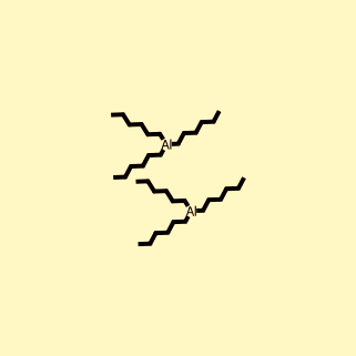 CCCCC[CH2][Al]([CH2]CCCCC)[CH2]CCCCC.CCCCC[CH2][Al]([CH2]CCCCC)[CH2]CCCCC